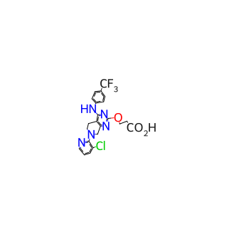 O=C(O)CCOc1nc2c(c(Nc3ccc(C(F)(F)F)cc3)n1)CCN(c1ncccc1Cl)C2